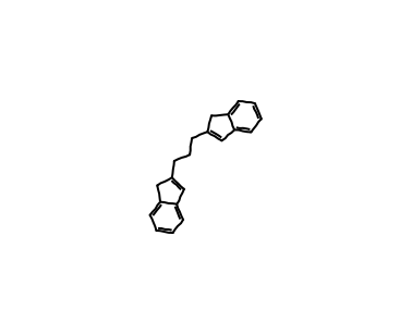 C1=C(CCCC2=Cc3ccccc3C2)Cc2ccccc21